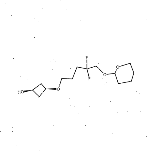 O[C@H]1C[C@@H](OCCCC(F)(F)COC2CCCCO2)C1